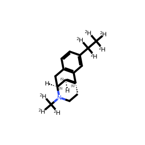 [2H]C([2H])([2H])N1CC[C@@]23CCCC[C@@H]2[C@@H]1Cc1ccc(C([2H])([2H])C([2H])([2H])[2H])cc13